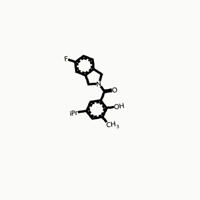 Cc1cc(C(C)C)cc(C(=O)N2Cc3ccc(F)cc3C2)c1O